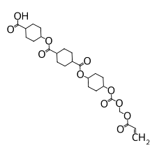 C=CC(=O)OCOC(=O)OC1CCC(OC(=O)C2CCC(C(=O)OC3CCC(C(=O)O)CC3)CC2)CC1